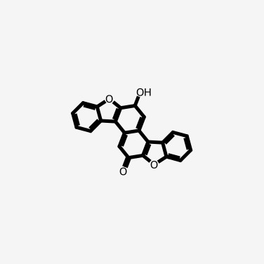 O=C1C=C2C(=CC(O)c3oc4ccccc4c32)c2c1oc1ccccc21